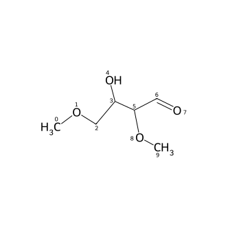 COCC(O)C(C=O)OC